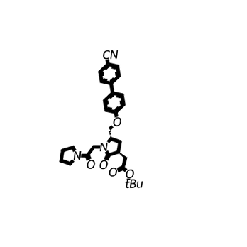 CC(C)(C)OC(=O)C[C@@H]1C[C@@H](COc2ccc(-c3ccc(C#N)cc3)cc2)N(CC(=O)N2CCCC2)C1=O